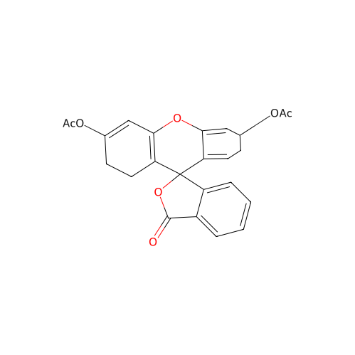 CC(=O)OC1=CC2=C(CC1)C1(OC(=O)c3ccccc31)C1=CCC(OC(C)=O)C=C1O2